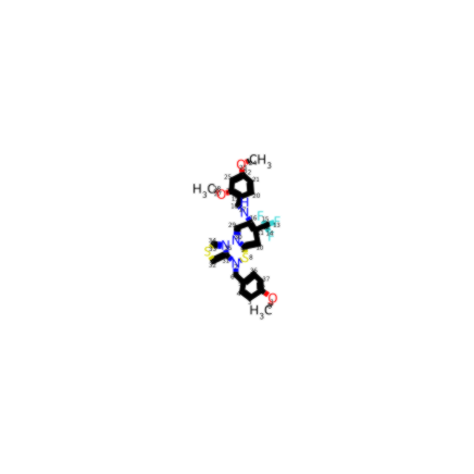 COc1ccc(CN(Sc2cc(C(F)(F)F)c(NCc3ccc(OC)cc3OC)cn2)c2cscn2)cc1